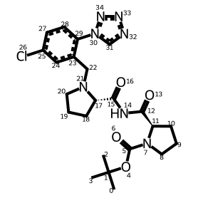 CC(C)(C)OC(=O)N1CCC[C@@H]1C(=O)NC(=O)[C@@H]1CCCN1Cc1cc(Cl)ccc1-n1cnnn1